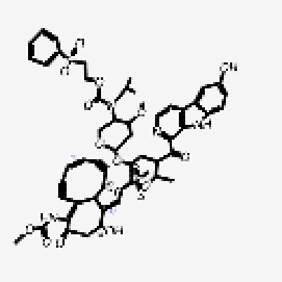 COC(=O)NC1=C2C#C/C=C\C#C[C@H](OC3OC(C)C(C(=O)c4nccc5c4[nH]c4ccc(O)cc45)CC3OC3CC(OC)C(N(C(=O)OCCS(=O)(=O)c4ccccc4)C(C)C)CO3)C2/C(=C\CS(C)(=S)=S)[C@@H](O)CC1=O